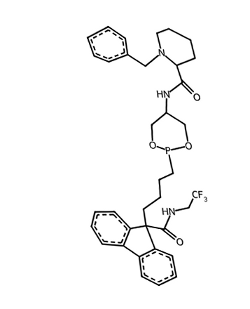 O=C(NC1COP(CCCCC2(C(=O)NCC(F)(F)F)c3ccccc3-c3ccccc32)OC1)C1CCCCN1Cc1ccccc1